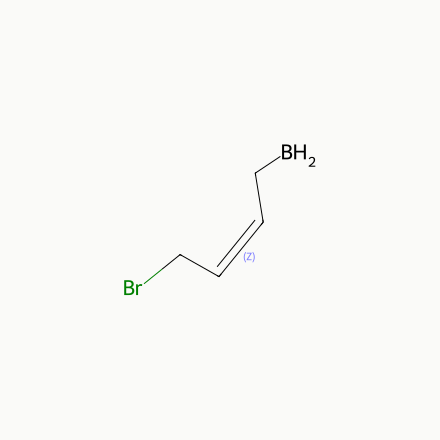 BC/C=C\CBr